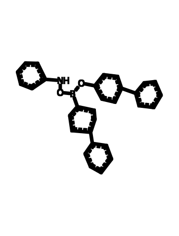 c1ccc(NOB(Oc2ccc(-c3ccccc3)cc2)c2ccc(-c3ccccc3)cc2)cc1